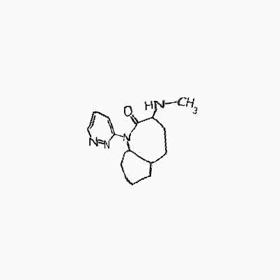 CNC1CCC2CCCC2N(c2cccnn2)C1=O